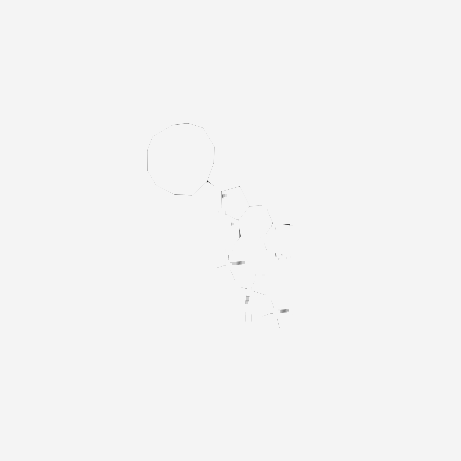 CSS[C@H](C)OC1C[C@H](C2CCCCCCCCCCC2)O[C@@H]1COP(=O)(O)OP(=O)(O)OP(=O)(O)O